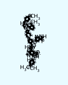 COc1ccc(CN2CCN(C3CC4(CCN(c5ccc(C(=O)NS(=O)(=O)c6cc([N+](=O)[O-])c(NCC7(F)C=CN(C(C)C)C=C7)c7[nH]cnc67)c(Oc6cnc7[nH]cc(F)c7c6)c5)CC4)C3)C(c3ccccc3C(C)C)C2)cc1